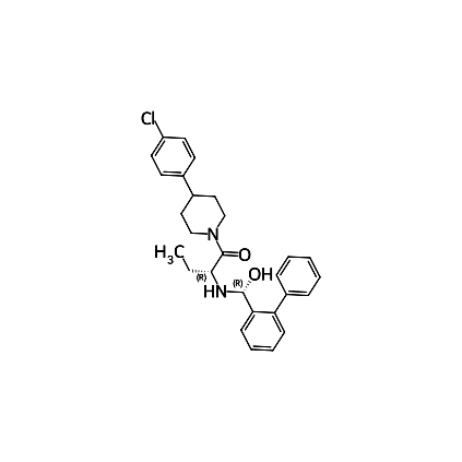 CC[C@@H](N[C@H](O)c1ccccc1-c1ccccc1)C(=O)N1CCC(c2ccc(Cl)cc2)CC1